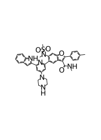 CNC(=O)c1c(-c2ccc(C)cc2)oc2cc(N(C)S(C)(=O)=O)c(-c3cc(N4CCNCC4)cc(-c4cc5ccccc5[nH]4)n3)cc12